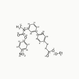 CCOOC(=O)CCc1ccc(-c2cccc(N(C)C(=O)Oc3ccc([N+](=O)[O-])cc3)c2)nc1